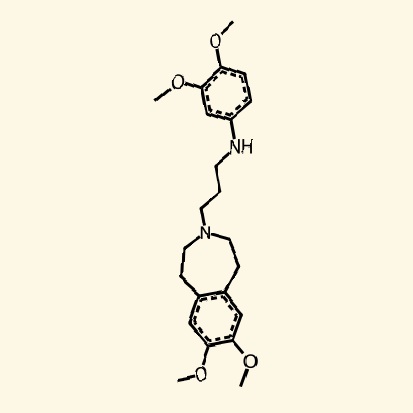 COc1ccc(NCCCN2CCc3cc(OC)c(OC)cc3CC2)cc1OC